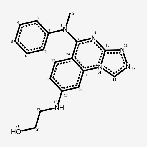 CN(c1ccccc1)c1nc2nncn2c2cc(NCCO)ccc12